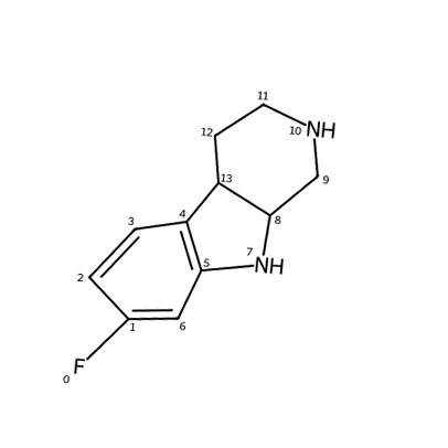 Fc1ccc2c(c1)NC1CNCCC21